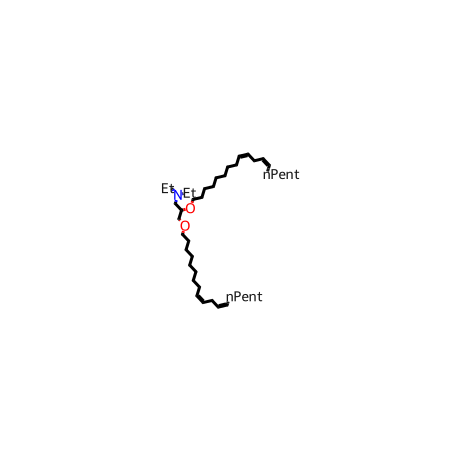 CCCCC/C=C\C/C=C\CCCCCCCCOCC(CN(CC)CC)OCCCCCCCC/C=C\C/C=C\CCCCC